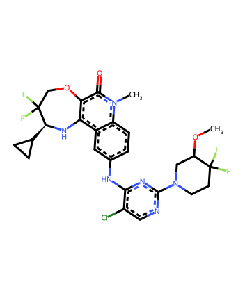 COC1CN(c2ncc(Cl)c(Nc3ccc4c(c3)c3c(c(=O)n4C)OCC(F)(F)[C@H](C4CC4)N3)n2)CCC1(F)F